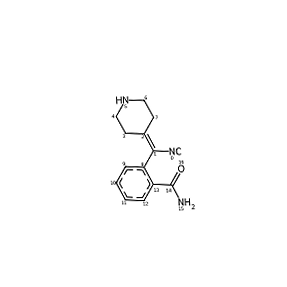 [C-]#[N+]C(=C1CCNCC1)c1ccccc1C(N)=O